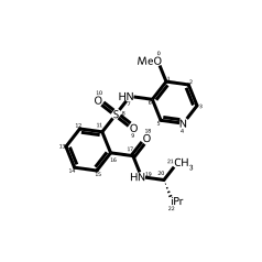 COc1ccncc1NS(=O)(=O)c1ccccc1C(=O)N[C@H](C)C(C)C